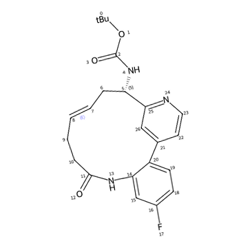 CC(C)(C)OC(=O)N[C@H]1C/C=C/CCC(=O)Nc2cc(F)ccc2-c2ccnc1c2